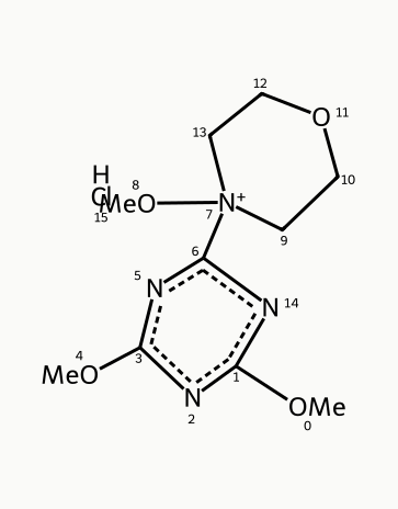 COc1nc(OC)nc([N+]2(OC)CCOCC2)n1.Cl